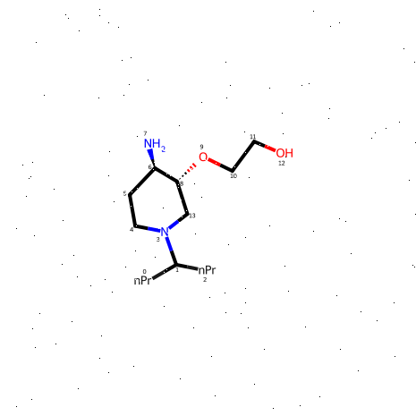 CCCC(CCC)N1CC[C@@H](N)[C@H](OCCO)C1